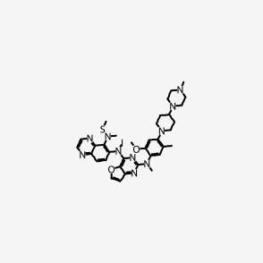 COc1cc(N2CCC(N3CCN(C)CC3)CC2)c(C)cc1N(C)c1nc(N(I)c2ccc3nccnc3c2N(C)SC)c2occc2n1